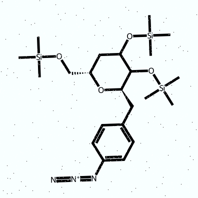 C[Si](C)(C)OC[C@@H]1CC(O[Si](C)(C)C)C(O[Si](C)(C)C)[C@@H](Cc2ccc(N=[N+]=[N-])cc2)O1